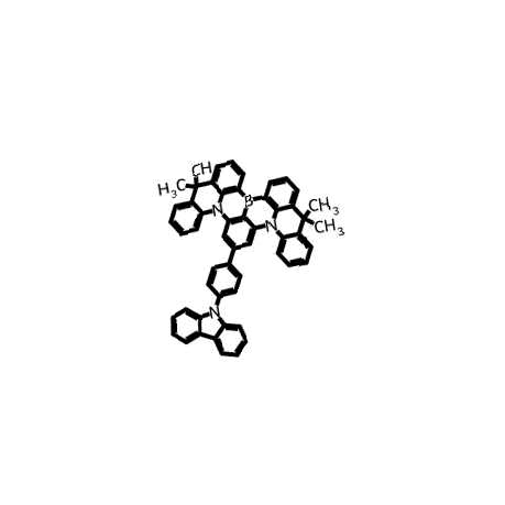 CC1(C)c2ccccc2N2c3cc(-c4ccc(-n5c6ccccc6c6ccccc65)cc4)cc4c3B(c3cccc1c32)c1cccc2c1N4c1ccccc1C2(C)C